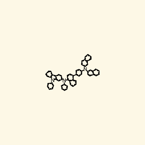 c1ccc(N(c2ccc3c4ccccc4n(-c4ccccc4)c3c2)c2ccc(-c3ccc(N(c4ccc5ccccc5c4)c4ccc5ccccc5c4)cc3)c3ccccc23)cc1